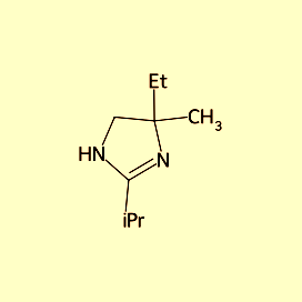 CCC1(C)CNC(C(C)C)=N1